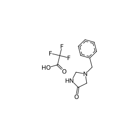 O=C(O)C(F)(F)F.O=C1CN(Cc2ccccc2)CN1